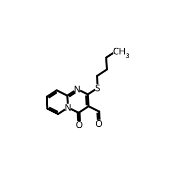 CCCCSc1nc2ccccn2c(=O)c1C=O